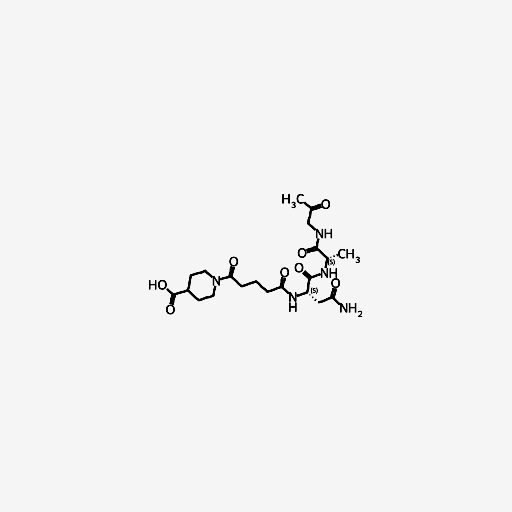 CC(=O)CNC(=O)[C@H](C)NC(=O)[C@H](CC(N)=O)NC(=O)CCCC(=O)N1CCC(C(=O)O)CC1